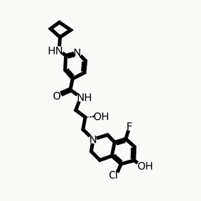 O=C(NC[C@H](O)CN1CCc2c(Cl)c(O)cc(F)c2C1)c1ccnc(NC2CCC2)c1